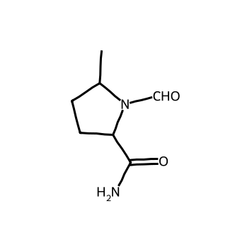 CC1CCC(C(N)=O)N1C=O